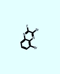 Fc1nc2cccc(Br)c2nc1Br